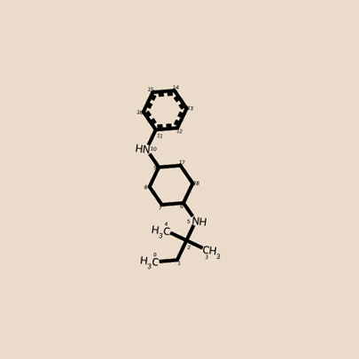 CCC(C)(C)NC1CCC(Nc2ccccc2)CC1